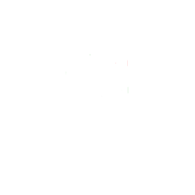 Oc1c(Cl)cc(SC2CCCCCC2)c(Cl)c1Cl